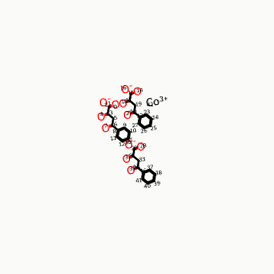 O=C([O-])C(=O)CC(=O)c1ccccc1.O=C([O-])C(=O)CC(=O)c1ccccc1.O=C([O-])C(=O)CC(=O)c1ccccc1.[Co+3]